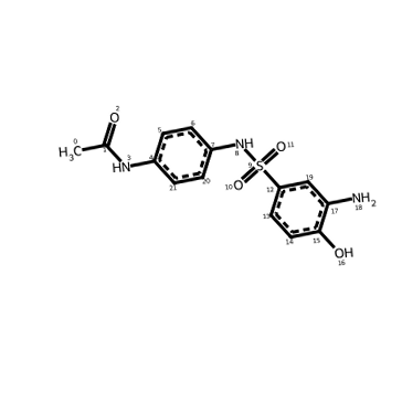 CC(=O)Nc1ccc(NS(=O)(=O)c2ccc(O)c(N)c2)cc1